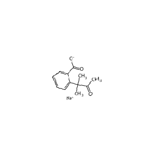 CC(=O)C(C)(C)c1ccccc1C(=O)[O-].[Na+]